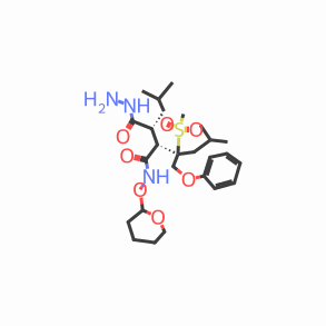 CC(C)C[C@@H](C(=O)NN)[C@@H](C(=O)NOC1CCCCO1)C(COc1ccccc1)(CC(C)C)S(C)(=O)=O